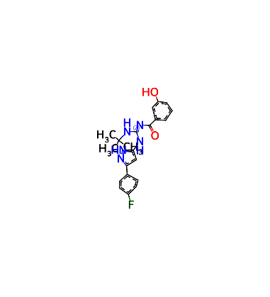 CC(C)(C)N/C(=N/C(=O)c1cccc(O)c1)Nc1cc(-c2ccc(F)cc2)n[nH]1